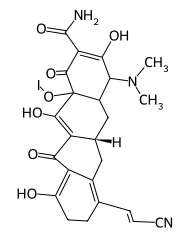 CN(C)C1C(O)=C(C(N)=O)C(=O)C2(OI)C(O)=C3C(=O)C4=C(O)CCC(/C=C/C#N)=C4C[C@H]3CC12